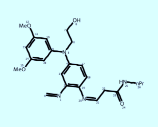 C=Nc1cc(N(CCO)c2cc(OC)cc(OC)c2)ccc1/N=C\CC(=O)NCCC